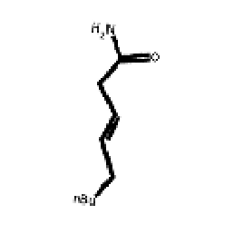 CCCCC/C=C/CC(N)=O